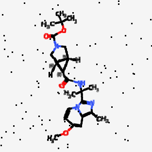 COc1ccn2c(C(C)(C)NC(=O)[C@H]3[C@@H]4CN(C(=O)OC(C)(C)C)C[C@@H]43)nc(C)c2c1